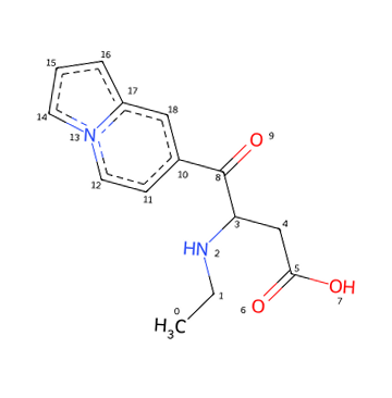 CCNC(CC(=O)O)C(=O)c1ccn2cccc2c1